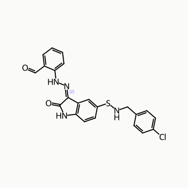 O=Cc1ccccc1N/N=C1\C(=O)Nc2ccc(SNCc3ccc(Cl)cc3)cc21